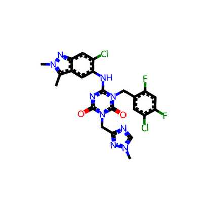 Cc1c2cc(Nc3nc(=O)n(Cc4ncn(C)n4)c(=O)n3Cc3cc(Cl)c(F)cc3F)c(Cl)cc2nn1C